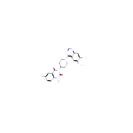 COc1cc2ncnc(N3CCC(n4c(=O)c5cc([N+](=O)[O-])ccc5n(C)c4=O)CC3)c2cc1OC